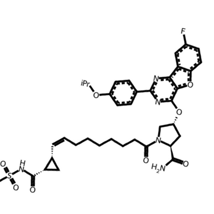 CC(C)Oc1ccc(-c2nc(O[C@@H]3C[C@@H](C(N)=O)N(C(=O)CCCCCC/C=C\[C@@H]4C[C@@H]4C(=O)NS(=O)(=O)C4CC4)C3)c3oc4ccc(F)cc4c3n2)cc1